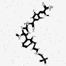 COC(=Cc1c(F)cc(C(=O)Nc2nc(-c3cccc(CCCOCC(C)(C)C)c3F)c(OC)s2)cc1F)C(=O)O